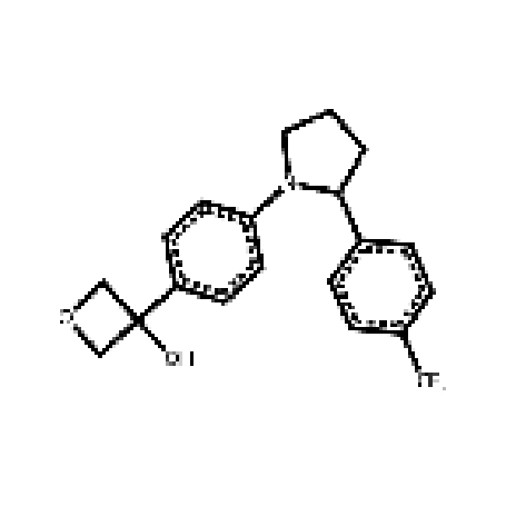 OC1(c2ccc(N3CCCC3c3ccc(C(F)(F)F)cc3)cc2)COC1